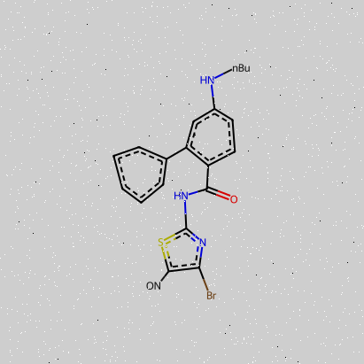 CCCCNc1ccc(C(=O)Nc2nc(Br)c(N=O)s2)c(-c2ccccc2)c1